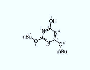 CCCCOc1nc(O)nc(OCCCC)n1